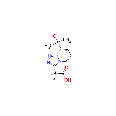 CC(C)(O)c1cccn2c(C3(C(=O)O)CC3)nnc12